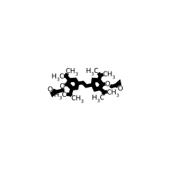 CC(C)c1cc(CCc2cc(C(C)C)c(OCC3CO3)c(C(C)C)c2)cc(C(C)C)c1OCC1CO1